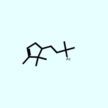 CC(=O)C(C)(C)CCC1CC=C(C)C1(C)C